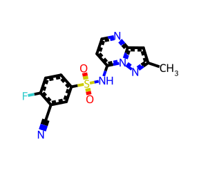 Cc1cc2nccc(NS(=O)(=O)c3ccc(F)c(C#N)c3)n2n1